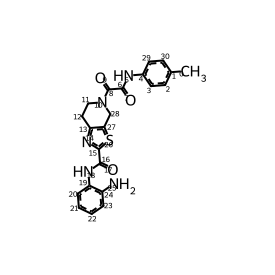 Cc1ccc(NC(=O)C(=O)N2CCc3nc(C(=O)Nc4ccccc4N)sc3C2)cc1